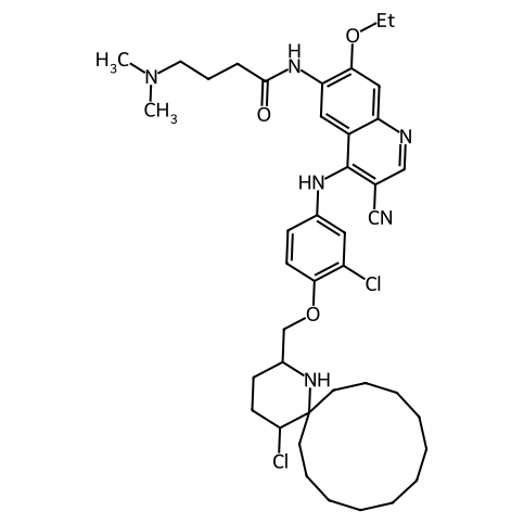 CCOc1cc2ncc(C#N)c(Nc3ccc(OCC4CCC(Cl)C5(CCCCCCCCCCC5)N4)c(Cl)c3)c2cc1NC(=O)CCCN(C)C